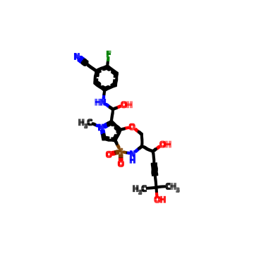 Cn1cc2c(c1C(O)Nc1ccc(F)c(C#N)c1)OCC(C(O)C#CC(C)(C)O)NS2(=O)=O